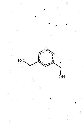 OCc1c[c]cc(CO)c1